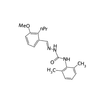 CCCc1c(/C=N/NC(=O)Nc2c(C)cccc2C)cccc1OC